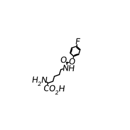 NC(CCCCNC(=O)Oc1ccc(F)cc1)C(=O)O